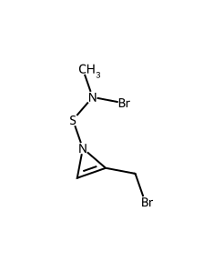 CN(Br)SN1C=C1CBr